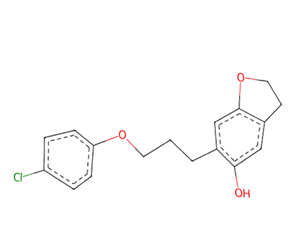 Oc1cc2c(cc1CCCOc1ccc(Cl)cc1)OCC2